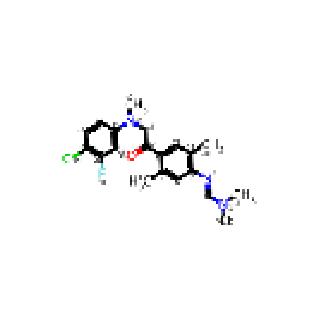 CCN(C)C=Nc1cc(C)c(C(=O)CN(C)c2ccc(Cl)c(F)c2)cc1C